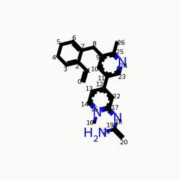 C=CC1=CCCC=C1Cc1cc(-c2ccn(C)/c(=N\C(=C)N)c2)cnc1C